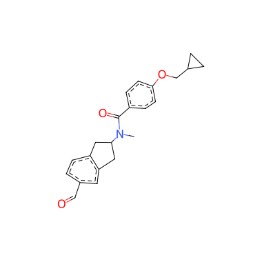 CN(C(=O)c1ccc(OCC2CC2)cc1)C1Cc2ccc(C=O)cc2C1